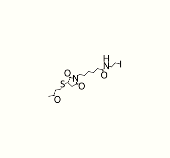 CC(=O)CCSC1CC(=O)N(CCCCCC(=O)NCCI)C1=O